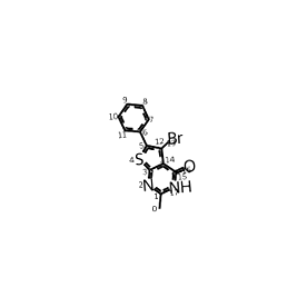 Cc1nc2sc(-c3ccccc3)c(Br)c2c(=O)[nH]1